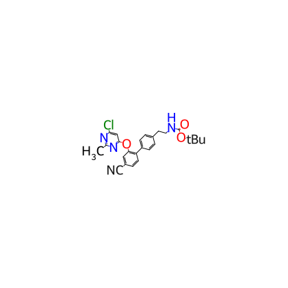 Cc1nc(Cl)cc(Oc2cc(C#N)ccc2-c2ccc(CCNC(=O)OC(C)(C)C)cc2)n1